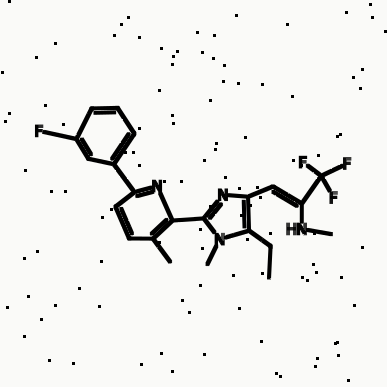 CCc1c(/C=C(\NC)C(F)(F)F)nc(-c2nc(-c3cccc(F)c3)ccc2C)n1C